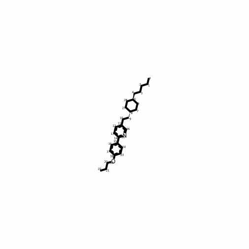 CCCCC[C@H]1CC[C@H](CCc2ccc(-c3ccc(OCCC)cc3)nc2)CC1